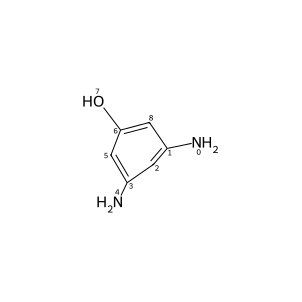 Nc1cc(N)cc(O)c1